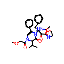 COCC(=O)N1C=C(c2ccccc2)N([C@](Cc2ccccc2)(NC(C)=O)C(=O)C2=NCCO2)C(=O)C1C(C)C